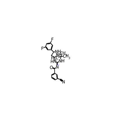 CC(C)(C)N/C(=N/C(=O)c1cccc(C#N)c1)NC1CC(c2cc(F)cc(F)c2)NN1